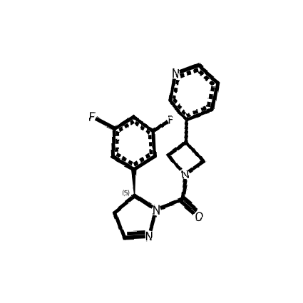 O=C(N1CC(c2cccnc2)C1)N1N=CC[C@H]1c1cc(F)cc(F)c1